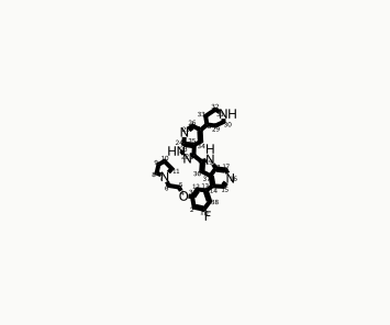 Fc1cc(OCCN2CCCC2)cc(-c2cncc3[nH]c(-c4n[nH]c5ncc(C6CCNCC6)cc45)cc23)c1